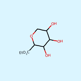 CCOC(=O)C1OCC(O)C(O)C1O